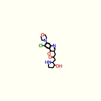 O=C(CC1C=Nc2cc(N3CCOCC3)c(Cl)cc2C1=O)CC1NCCCC1O